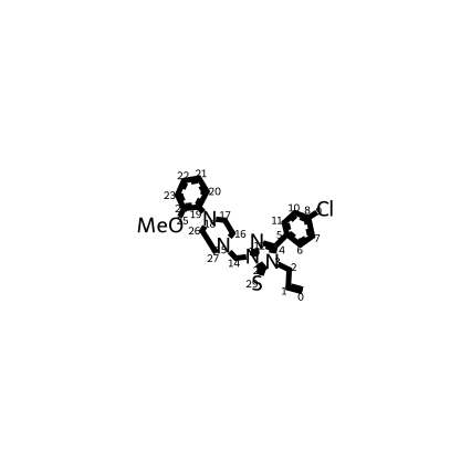 C=CCn1c(-c2ccc(Cl)cc2)nn(CN2CCN(c3ccccc3OC)CC2)c1=S